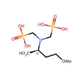 COCC[C@@H](C(=O)O)N(CP(=O)(O)O)CP(=O)(O)O